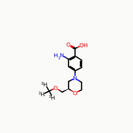 [2H]C([2H])([2H])OC[C@H]1CN(c2ccc(C(=O)O)c(N)c2)CCO1